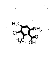 Cc1cc(N)c(C(=O)O)c(C)c1Cl